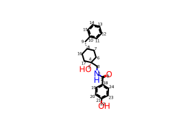 O=C(NC[C@]1(O)CC[C@@H](Cc2ccccc2)CC1)c1ccc(O)cc1